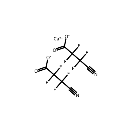 N#CC(F)(F)C(F)(F)C(=O)[O-].N#CC(F)(F)C(F)(F)C(=O)[O-].[Ca+2]